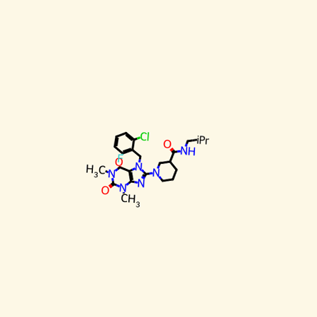 CC(C)CNC(=O)C1CCCN(c2nc3c(c(=O)n(C)c(=O)n3C)n2Cc2c(F)cccc2Cl)C1